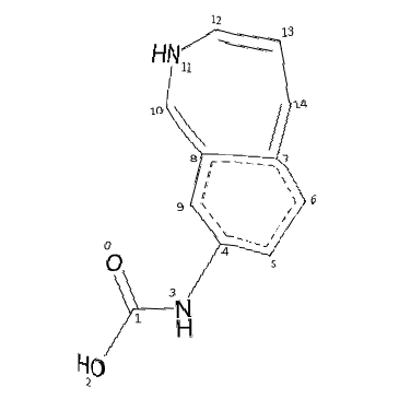 O=C(O)Nc1ccc2c(c1)=CNC=CC=2